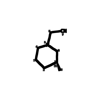 C[C@H]1CCCN(CC#N)C1